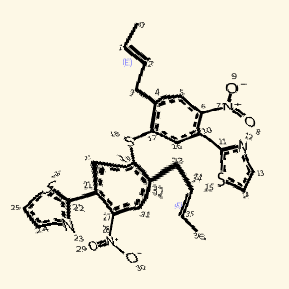 C/C=C/Cc1cc([N+](=O)[O-])c(-c2nccs2)cc1Sc1cc(-c2nccs2)c([N+](=O)[O-])cc1C/C=C/C